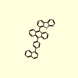 c1ccc2c(-c3ccc(-c4c5ccccc5c(-c5cccc6c5sc5ccccc56)c5ccccc45)cc3)cccc2c1